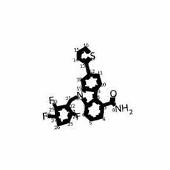 NC(=O)c1cccc2c1c1[c]cc(-c3cccs3)cc1n2Cc1c(F)ccc(F)c1F